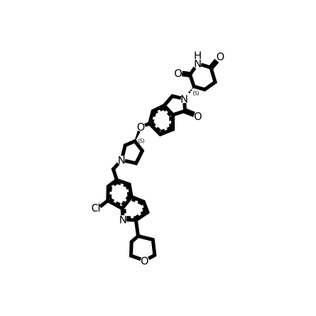 O=C1CC[C@H](N2Cc3cc(O[C@H]4CCN(Cc5cc(Cl)c6nc(C7CCOCC7)ccc6c5)C4)ccc3C2=O)C(=O)N1